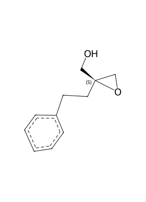 OC[C@@]1(CCc2ccccc2)CO1